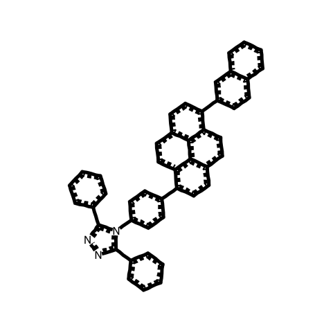 c1ccc(-c2nnc(-c3ccccc3)n2-c2ccc(-c3ccc4ccc5c(-c6ccc7ccccc7c6)ccc6ccc3c4c65)cc2)cc1